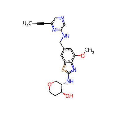 CC#Cc1cncc(NCc2cc(OC)c3nc(N[C@H]4COCC[C@@H]4O)sc3c2)n1